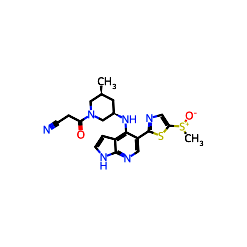 C[C@H]1C[C@@H](Nc2c(-c3ncc([S+](C)[O-])s3)cnc3[nH]ccc23)CN(C(=O)CC#N)C1